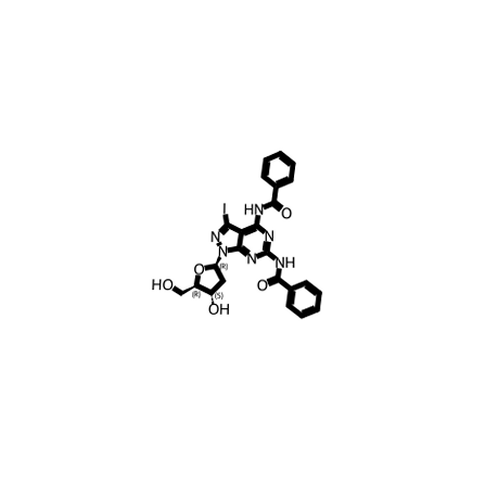 O=C(Nc1nc(NC(=O)c2ccccc2)c2c(I)nn([C@H]3C[C@H](O)[C@@H](CO)O3)c2n1)c1ccccc1